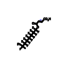 CC(C)C(C)(F)C(F)(F)C(F)(F)C(F)(F)C(F)(F)C(F)(F)C(F)(F)OC(=O)/C=C/C(=O)O